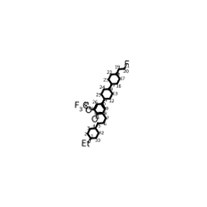 CCC1CCC(C2CCc3cc(C4CCC(C5CCC(CCF)CC5)CC4)cc(OC(F)(F)F)c3O2)CC1